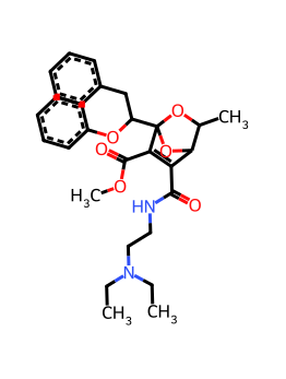 CCN(CC)CCNC(=O)C1=C(C(=O)OC)C2(C(Cc3ccccc3)Oc3ccccc3)OC(C)C1O2